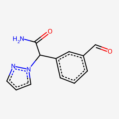 NC(=O)C(c1cccc(C=O)c1)n1cccn1